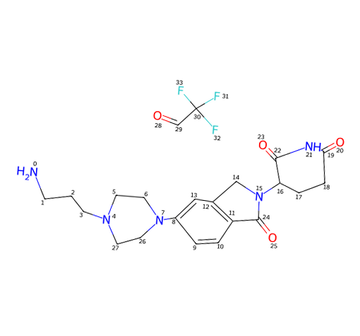 NCCCN1CCN(c2ccc3c(c2)CN(C2CCC(=O)NC2=O)C3=O)CC1.O=CC(F)(F)F